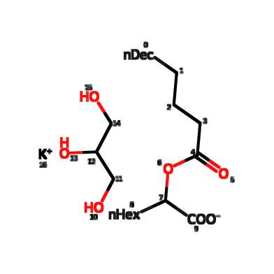 CCCCCCCCCCCCCC(=O)OC(CCCCCC)C(=O)[O-].OCC(O)CO.[K+]